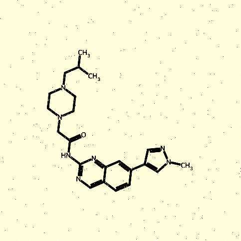 CC(C)CN1CCN(CC(=O)Nc2ncc3ccc(-c4cnn(C)c4)cc3n2)CC1